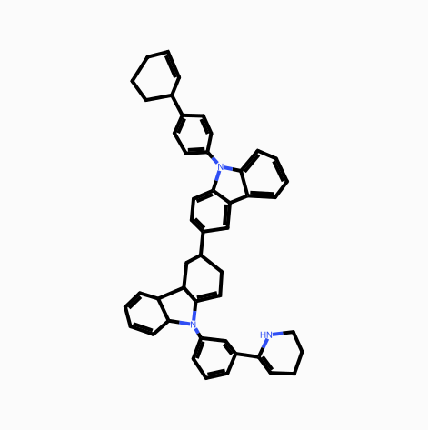 C1=CC2C3CC(c4ccc5c(c4)c4ccccc4n5-c4ccc(C5C=CCCC5)cc4)CC=C3N(c3cccc(C4=CCCCN4)c3)C2C=C1